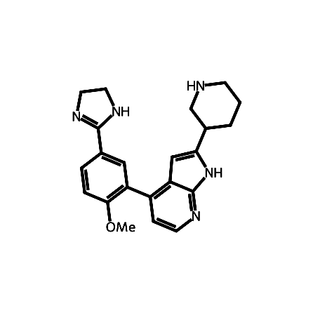 COc1ccc(C2=NCCN2)cc1-c1ccnc2[nH]c(C3CCCNC3)cc12